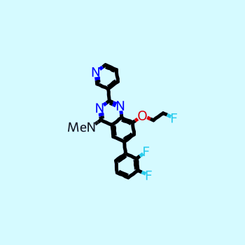 CNc1nc(-c2cccnc2)nc2c(OCCF)cc(-c3cccc(F)c3F)cc12